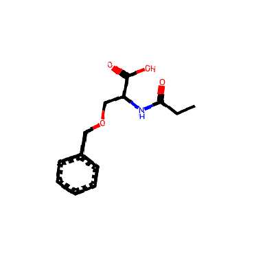 CCC(=O)NC(COCc1ccccc1)C(=O)O